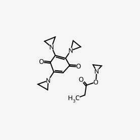 CCC(=O)ON1CC1.O=C1C=C(N2CC2)C(=O)C(N2CC2)=C1N1CC1